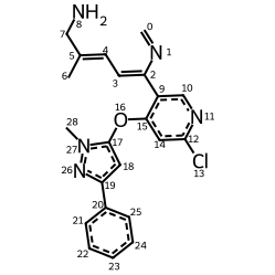 C=N/C(=C\C=C(/C)CN)c1cnc(Cl)cc1Oc1cc(-c2ccccc2)nn1C